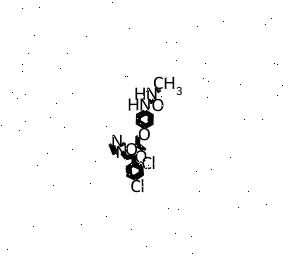 CCNC(=O)Nc1ccc(OCC2COC(Cn3ccnc3)(c3ccc(Cl)cc3Cl)O2)cc1